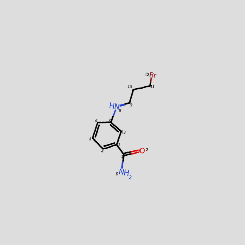 NC(=O)c1cccc(NCCCBr)c1